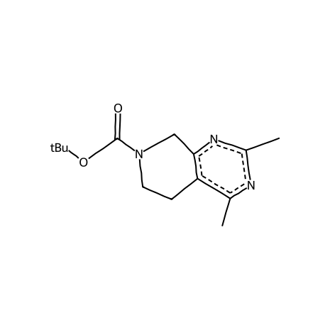 Cc1nc(C)c2c(n1)CN(C(=O)OC(C)(C)C)CC2